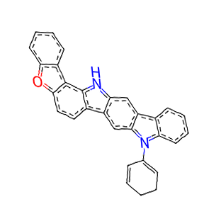 C1=CC(n2c3ccccc3c3cc4[nH]c5c(ccc6oc7ccccc7c65)c4cc32)=CCC1